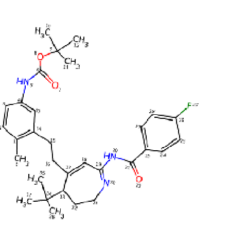 Cc1ccc(NC(=O)OC(C)(C)C)cc1CCC1=CC(NC(=O)c2ccc(F)cc2)=NCCC1C(C)(C)C